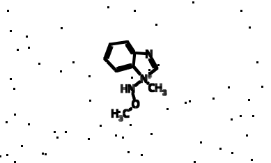 CON[N+]1(C)C=Nc2ccccc21